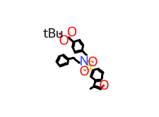 Cc1coc2ccc(S(=O)(=O)N(CCc3ccccc3)Cc3ccc(C(=O)OC(C)(C)C)cc3)cc12